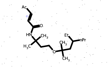 CCCC(CC)CC(C)(C)OCCC(C)(C)NC(=O)/C=C/C(C)=O